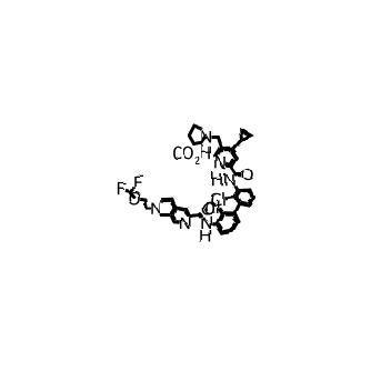 O=C(Nc1cccc(-c2cccc(NC(=O)c3cc(C4CC4)c(CN4CCCC[C@H]4C(=O)O)cn3)c2Cl)c1Cl)c1cc2c(cn1)CN(CCOC(F)F)CC2